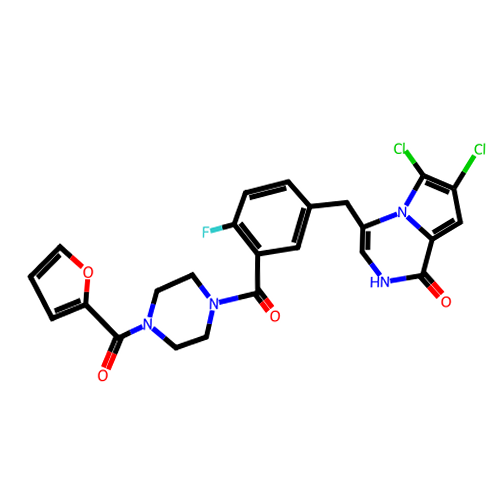 O=C(c1ccco1)N1CCN(C(=O)c2cc(Cc3c[nH]c(=O)c4cc(Cl)c(Cl)n34)ccc2F)CC1